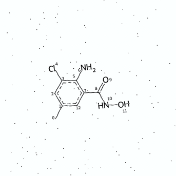 Cc1cc(Cl)c(N)c(C(=O)NO)c1